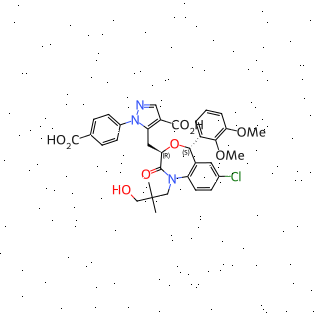 COc1cccc([C@H]2O[C@H](Cc3c(C(=O)O)cnn3-c3ccc(C(=O)O)cc3)C(=O)N(CC(C)(C)CO)c3ccc(Cl)cc32)c1OC